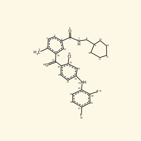 Cc1ccc(C(=O)NCC2CCCCC2)cc1C(=O)c1ccc(Nc2ccc(F)cc2F)cc1Cl